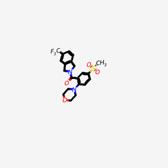 CS(=O)(=O)c1ccc(N2CCOCC2)c(C(=O)N2Cc3ccc(C(F)(F)F)cc3C2)c1